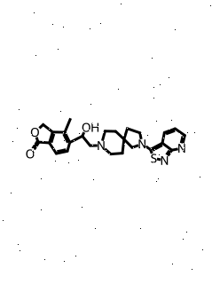 Cc1c(C(O)CN2CCC3(CC2)CCN(c2snc4ncccc24)C3)ccc2c1COC2=O